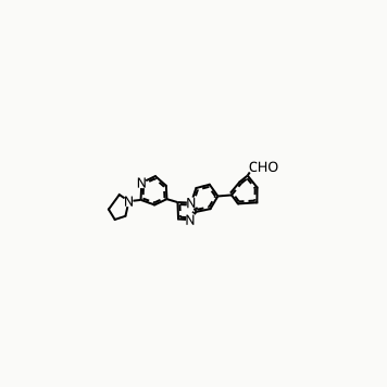 O=Cc1cccc(-c2ccn3c(-c4ccnc(N5CCCC5)c4)cnc3c2)c1